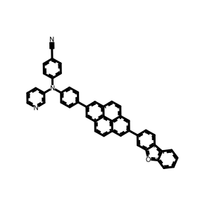 N#Cc1ccc(N(c2ccc(-c3cc4ccc5cc(-c6ccc7c(c6)oc6ccccc67)cc6ccc(c3)c4c56)cc2)c2cccnc2)cc1